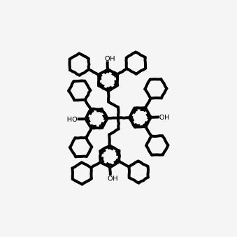 Oc1c(C2CCCCC2)cc(CCC(CCc2cc(C3CCCCC3)c(O)c(C3CCCCC3)c2)(c2cc(C3CCCCC3)c(O)c(C3CCCCC3)c2)c2cc(C3CCCCC3)c(O)c(C3CCCCC3)c2)cc1C1CCCCC1